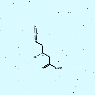 COC(=O)C[C@H](O)CN=[N+]=[N-]